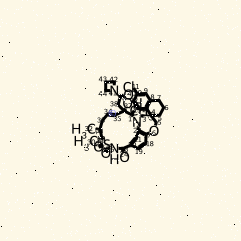 CC1N2C[C@@]3(CCCc4cc(Cl)ccc43)COc3ccc(cc32)C(=O)NS(=O)(=O)[C@H](C)[C@@H](C)C/C=C/C1(O)CC(=O)N1CCC1